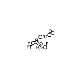 O=C(Nc1cccc(F)c1)Nc1nn(Cc2ccc(COc3ccc4c(c3)OCO4)cc2)c2ccc(C(F)(F)F)cc12